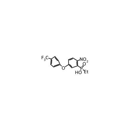 CCP(=O)(O)c1cc(Oc2ccc(C(F)(F)F)cc2)ccc1[N+](=O)[O-]